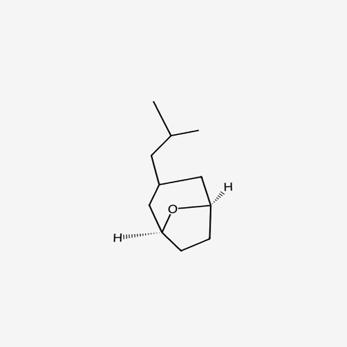 CC(C)CC1C[C@H]2CC[C@@H](C1)O2